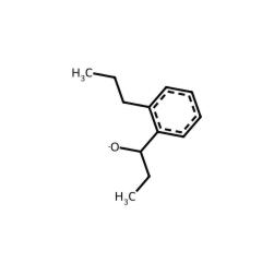 CCCc1ccccc1C([O])CC